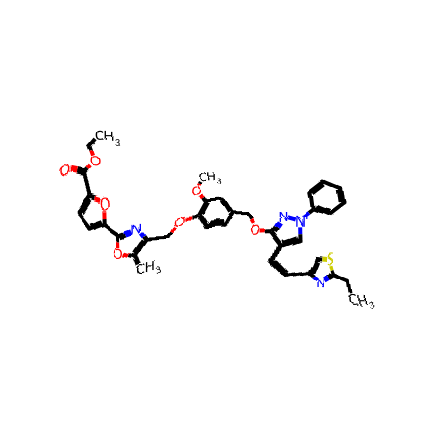 CCOC(=O)c1ccc(-c2nc(COc3ccc(COc4nn(-c5ccccc5)cc4/C=C\c4csc(CC)n4)cc3OC)c(C)o2)o1